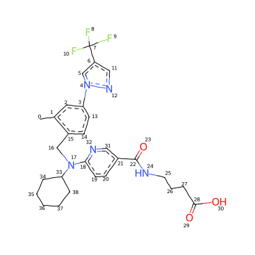 Cc1cc(-n2cc(C(F)(F)F)cn2)ccc1CN(c1ccc(C(=O)NCCCC(=O)O)cn1)C1CCCCC1